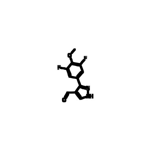 COc1c(F)cc(-c2n[nH]cc2C=O)cc1F